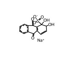 O=C1C2=C(C(=O)c3ccccc31)C(O)(S(=O)(=O)[O-])C(O)C=C2.[Na+]